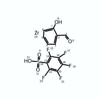 O=Cc1ccccc1O.O=S(=O)(O)c1c(F)c(F)c(F)c(F)c1F.[Zr]